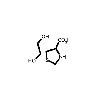 O=C(O)C1CSCN1.OCCO